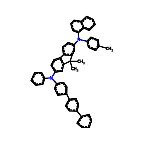 Cc1ccc(N(c2ccc3c(c2)C(C)(C)c2cc(N(c4ccccc4)c4ccc(-c5ccc(-c6ccccc6)cc5)cc4)ccc2-3)c2cccc3ccccc23)cc1